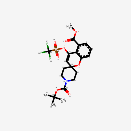 COC(=O)c1cccc2c1C(OS(=O)(=O)C(F)(F)F)=CC1(CCN(C(=O)OC(C)(C)C)CC1)O2